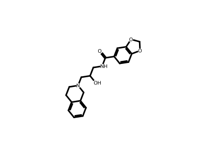 O=C(NCC(O)CN1CCc2ccccc2C1)c1ccc2c(c1)OCO2